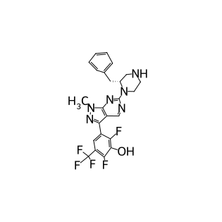 Cn1nc(-c2cc(C(F)(F)F)c(F)c(O)c2F)c2cnc(N3CCNC[C@H]3Cc3ccccc3)nc21